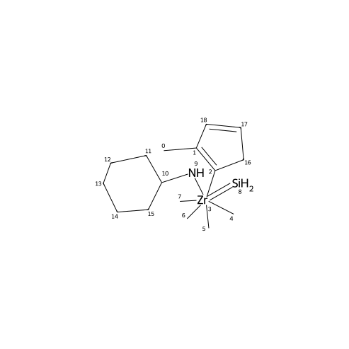 CC1=[C]([Zr]([CH3])([CH3])([CH3])([CH3])(=[SiH2])[NH]C2CCCCC2)CC=C1